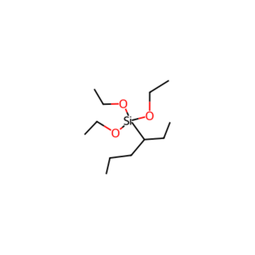 CCCC(CC)[Si](OCC)(OCC)OCC